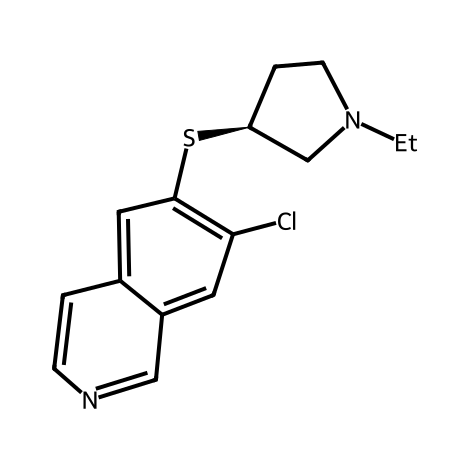 CCN1CC[C@H](Sc2cc3ccncc3cc2Cl)C1